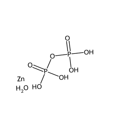 O.O=P(O)(O)OP(=O)(O)O.[Zn]